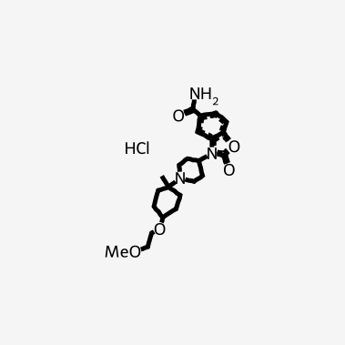 COCCOC1CCC(C)(N2CCC(n3c(=O)oc4ccc(C(N)=O)cc43)CC2)CC1.Cl